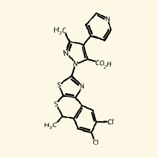 Cc1nn(-c2nc3c(s2)SC(C)c2cc(Cl)c(Cl)cc2-3)c(C(=O)O)c1-c1ccncc1